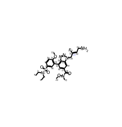 CCN(CC)S(=O)(=O)c1ccc(OC)c(-c2cc(C(=O)N(C)OC)cc3c2nnn3C/C(F)=C/CN)c1